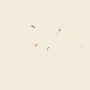 C=CC[C@H]1O[C@@H]2OC(C)(CF)O[C@@H]2[C@H]1OCc1c(C)cccc1C